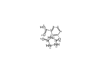 O=C(O)c1ccccc1.O=c1[nH][nH]c(=O)[nH]1